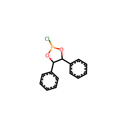 ClP1OC(c2ccccc2)C(c2ccccc2)O1